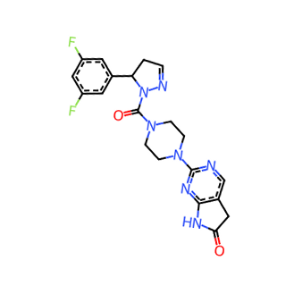 O=C1Cc2cnc(N3CCN(C(=O)N4N=CCC4c4cc(F)cc(F)c4)CC3)nc2N1